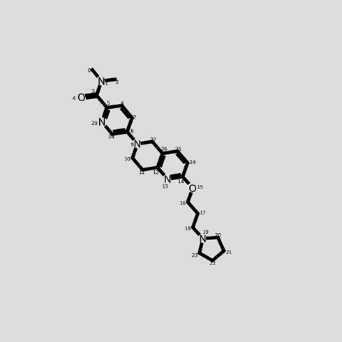 CN(C)C(=O)c1ccc(N2CCc3nc(OCCCN4CCCC4)ccc3C2)cn1